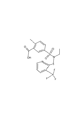 CCN(Sc1ncccc1C(F)(F)F)S(=O)(=O)c1ccc(C)c(C(=O)O)c1